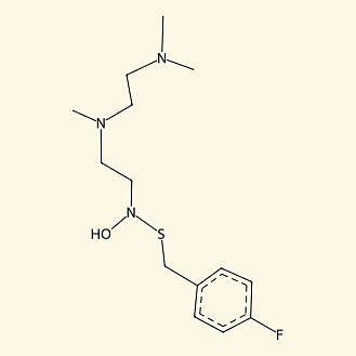 CN(C)CCN(C)CCN(O)SCc1ccc(F)cc1